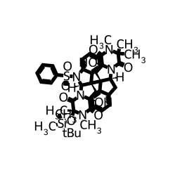 CN1C(=O)[C@]2(O)C[C@]3([C@]45C[C@@]6(O)C(=O)N(C)[C@](C)(O[Si](C)(C)C(C)(C)C)C(=O)N6[C@H]4N(S(=O)(=O)c4ccccc4)c4ccccc45)c4ccccc4C[C@@H]3N2C(=O)C1(C)C